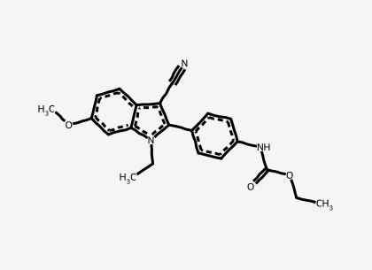 CCOC(=O)Nc1ccc(-c2c(C#N)c3ccc(OC)cc3n2CC)cc1